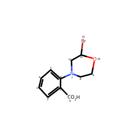 O=C(O)c1ccccc1N1CCOC(Br)C1